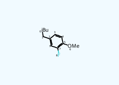 CCC(C)Cc1ccc(OC)c(F)c1